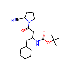 CC(C)(C)OC(=O)NC(CC(=O)N1CCCC1C#N)CC1CCCCC1